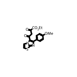 CCOC(=O)C(=O)CC(=O)c1c(-c2ccc(OC)cc2)nc2sccn12